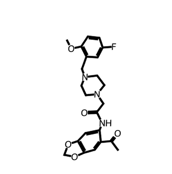 COc1ccc(F)cc1CN1CCN(CC(=O)Nc2cc3c(cc2C(C)=O)OCO3)CC1